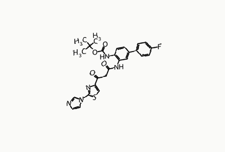 CC(C)(C)OC(=O)Nc1ccc(-c2ccc(F)cc2)cc1NC(=O)CC(=O)c1csc(-n2ccnc2)n1